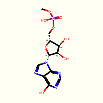 COP(=O)(O)OC[C@H]1O[C@@H](n2cnc3c(O)ncnc32)[C@H](O)[C@@H]1O